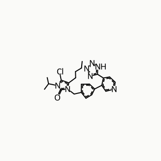 CCCCc1c(Cl)n(C(C)C)c(=O)n1Cc1ccc(-c2cnccc2-c2nnn[nH]2)cc1